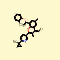 CC/C=C1/C(C)=C(c2ccc(C3(C#N)CC3)nc2)Oc2c1cc(C)cc2C(C)Bc1ccccc1C(=O)O